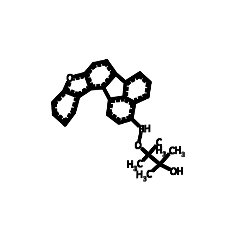 CC(C)(O)C(C)(C)OBc1ccc2c3c(cccc13)-c1ccc3oc4ccccc4c3c1-2